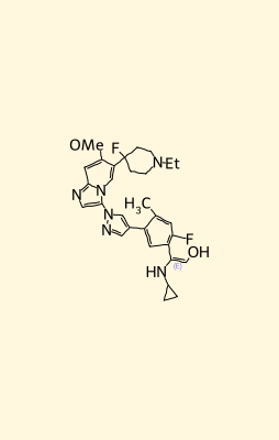 CCN1CCC(F)(c2cn3c(-n4cc(-c5cc(/C(=C\O)NC6CC6)c(F)cc5C)cn4)cnc3cc2OC)CC1